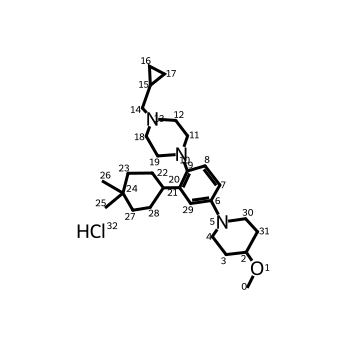 COC1CCN(c2ccc(N3CCN(CC4CC4)CC3)c(C3CCC(C)(C)CC3)c2)CC1.Cl